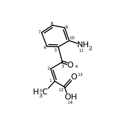 CC(=CC(=O)c1ccccc1N)C(=O)O